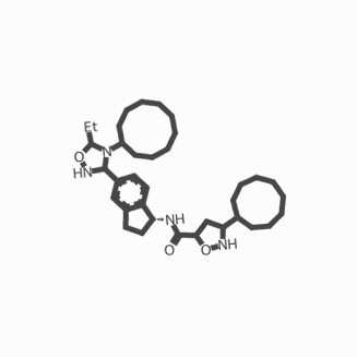 CCC1ONC(c2ccc3c(c2)CC[C@H]3NC(=O)C2CC(C3CCCCCCCC3)NO2)N1C1CCCCCCCCC1